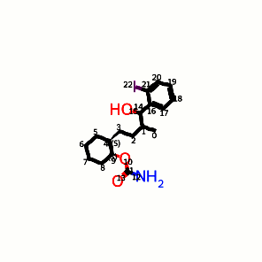 CC(CC[C@@H]1CCCC[C@@H]1OC(N)=O)C(O)c1ccccc1I